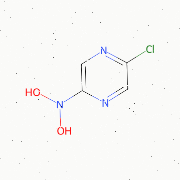 ON(O)c1cnc(Cl)cn1